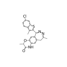 CC1=NN=C(c2sc3cc(Cl)ccc3c2C)c2cc3c(cc2C1)NC(=O)C(C)O3